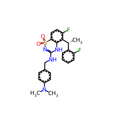 C[C@H](c1ccccc1F)c1c(F)ccc2c1NC(NCc1ccc(N(C)C)cc1)=NS2(=O)=O